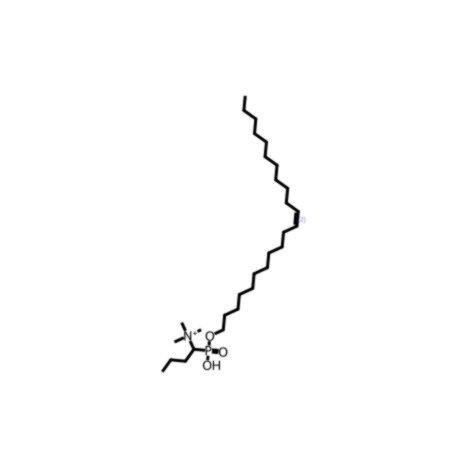 CCCCCCCCCC/C=C\CCCCCCCCCCOP(=O)(O)C(CCC)[N+](C)(C)C